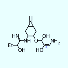 CCC(O)C(=N)NC1CC2NC2CC1OC(O)/C(O)=C\N